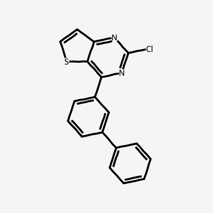 Clc1nc(-c2cccc(-c3ccccc3)c2)c2sccc2n1